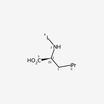 CC(C)C[C@H](NI)C(=O)O